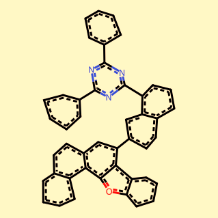 c1ccc(-c2nc(-c3ccccc3)nc(-c3cccc4ccc(-c5cc6ccc7ccccc7c6c6oc7ccccc7c56)cc34)n2)cc1